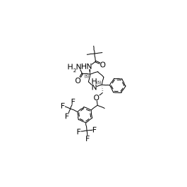 CC(OC[C@@]1(c2ccccc2)CC[C@@](NC(=O)C(C)(C)C)(C(N)=O)CN1)c1cc(C(F)(F)F)cc(C(F)(F)F)c1